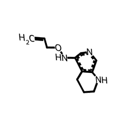 C=CCONc1cncc2c1CCCN2